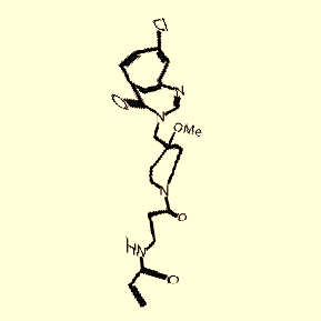 C=CC(=O)NCCC(=O)N1CCC(Cn2cnc3cc(Cl)ccc3c2=O)(OC)CC1